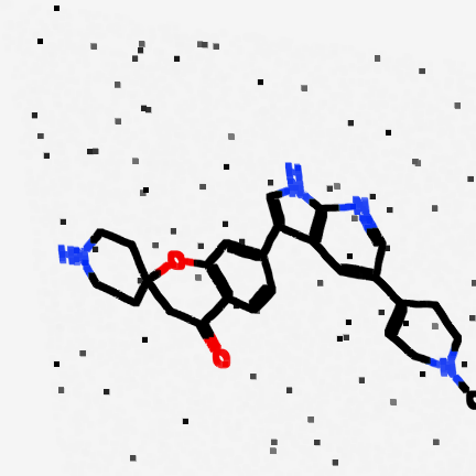 CN1CC=C(c2cnc3[nH]cc(-c4ccc5c(c4)OC4(CCNCC4)CC5=O)c3c2)CC1